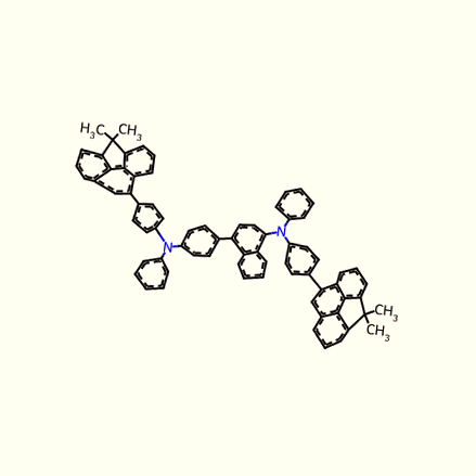 CC1(C)c2cccc3cc(-c4ccc(N(c5ccccc5)c5ccc(-c6ccc(N(c7ccccc7)c7ccc(-c8cc9cccc%10c9c9c(cccc89)C%10(C)C)cc7)c7ccccc67)cc5)cc4)c4cccc1c4c23